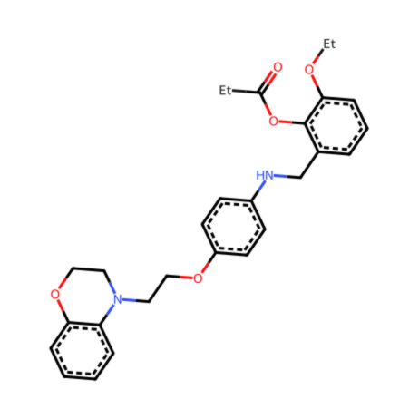 CCOc1cccc(CNc2ccc(OCCN3CCOc4ccccc43)cc2)c1OC(=O)CC